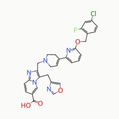 O=C(O)c1ccc2nc(CN3CC=C(c4cccc(OCc5ccc(Cl)cc5F)n4)CC3)c(Cc3cocn3)n2c1